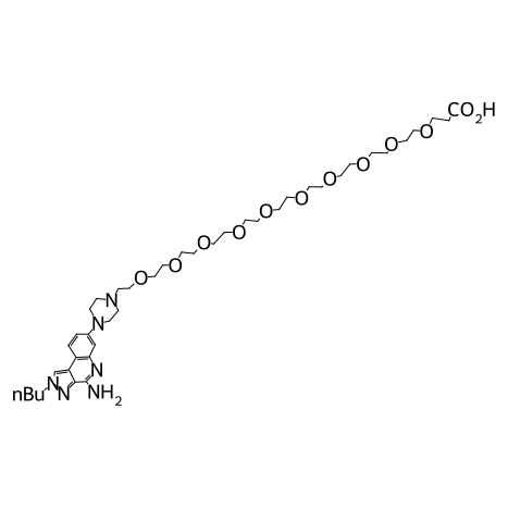 CCCCn1cc2c(n1)c(N)nc1cc(N3CCN(CCOCCOCCOCCOCCOCCOCCOCCOCCOCCOCCC(=O)O)CC3)ccc12